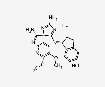 COc1ccc(C2(C(=N)N)N=C(N)N=C2N=C2CCc3ccccc32)cc1OC.Cl.Cl